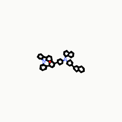 c1ccc(-n2c3ccccc3c3ccccc32)c(-c2ccc(-c3ccc(N(c4ccc(-c5ccc6ccccc6c5)cc4)c4cccc5ccccc45)cc3)cc2)c1